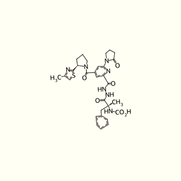 Cc1csc([C@H]2CCCN2C(=O)c2cc(C(=O)NNC(=O)[C@@](C)(Cc3ccccc3)NC(=O)O)nc(N3CCCC3=O)c2)n1